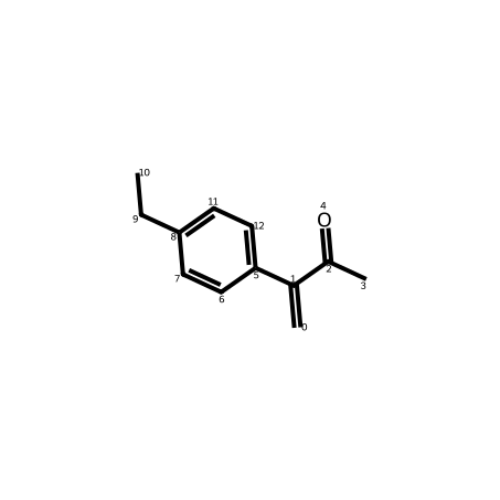 C=C(C(C)=O)c1ccc(CC)cc1